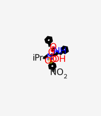 CC(C)CCN(C[C@@H](O)[C@H](Cc1ccccc1)NC(=O)OCc1ccccc1)S(=O)(=O)c1ccc([N+](=O)[O-])cc1